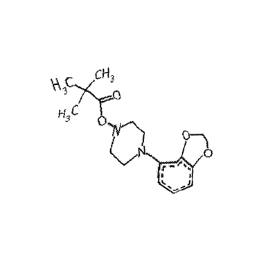 CC(C)(C)C(=O)ON1CCN(c2cccc3c2OCO3)CC1